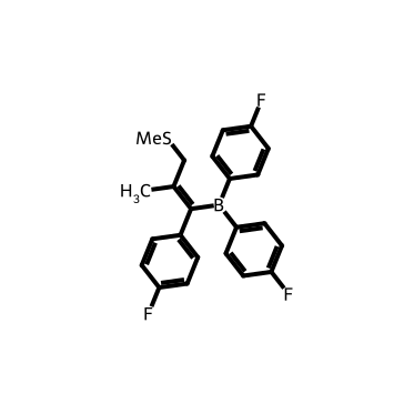 CSC/C(C)=C(\B(c1ccc(F)cc1)c1ccc(F)cc1)c1ccc(F)cc1